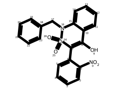 O=[N+]([O-])c1ccccc1C1=C(O)c2ccccc2N(Cc2ccccc2)S1(=O)=O